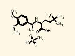 COc1ccc([C@H](C)N[C@@H](CCC(C)(C)C)C(=O)O)cc1OC.CS(=O)(=O)O